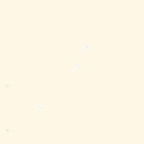 COCCN(CCOC)CCOc1cc2cc(-c3cc(=O)c4ccccc4o3)ncn2c1